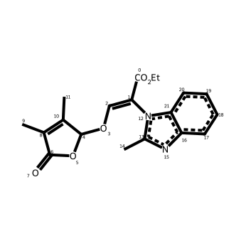 CCOC(=O)/C(=C/OC1OC(=O)C(C)=C1C)n1c(C)nc2ccccc21